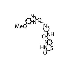 COc1ccc2ncc(OCCN3CCC(NC(=O)c4ccc5c(n4)NC(=O)CS5)CC3)nc2c1